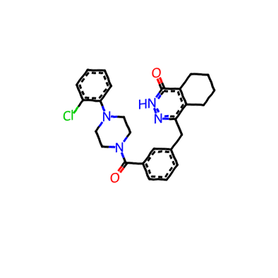 O=C(c1cccc(Cc2n[nH]c(=O)c3c2CCCC3)c1)N1CCN(c2ccccc2Cl)CC1